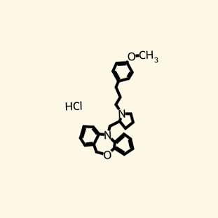 COc1ccc(CCCN2CCCC2CN2c3ccccc3COc3ccccc32)cc1.Cl